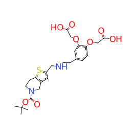 CC(C)(C)OC(=O)N1CCc2sc(CNCCc3ccc(OCC(=O)O)c(OCC(=O)O)c3)cc2C1